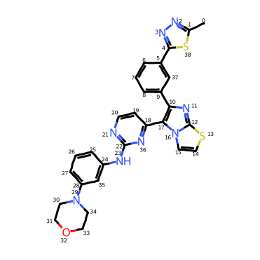 Cc1nnc(-c2cccc(-c3nc4sccn4c3-c3ccnc(Nc4cccc(N5CCOCC5)c4)n3)c2)s1